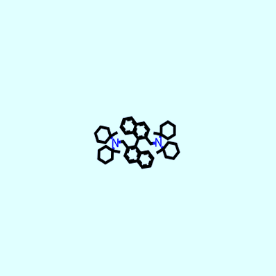 CC1(N(Cc2ccc3ccccc3c2-c2c(CN(C3(C)CCCCC3)C3(C)CCCCC3)ccc3ccccc23)C2(C)CCCCC2)CCCCC1